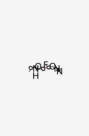 Cc1cccc(CNC(=O)Cc2ccc(-c3ccc(OCCN4CCN(C)CC4)cc3F)cc2)c1